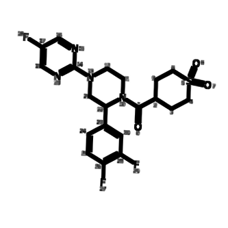 O=C(C1CCS(=O)(=O)CC1)N1CCN(c2ncc(F)cn2)CC1c1ccc(F)c(F)c1